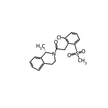 C[C@H]1c2ccccc2CCN1C(=O)Cc1c(Cl)cccc1S(C)(=O)=O